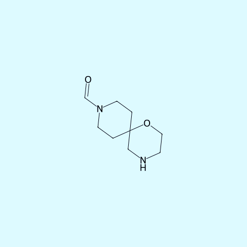 O=CN1CCC2(CC1)CNCCO2